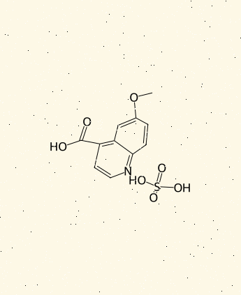 COc1ccc2nccc(C(=O)O)c2c1.O=S(=O)(O)O